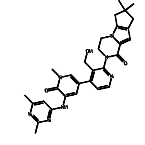 Cc1cc(Nc2cc(-c3ccnc(N4CCn5c(cc6c5CC(C)(C)C6)C4=O)c3CO)cn(C)c2=O)nc(C)n1